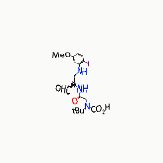 COc1ccc(I)c(NC[C@H](C=O)NC(=O)CN(C(=O)O)C(C)(C)C)c1